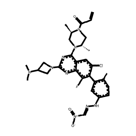 C=CC(=O)N1C[C@H](C)N(c2nc(N3CC(N(C)C)C3)nc3c(F)c(-c4cc(N/N=C/[N+](=O)[O-])ccc4C)c(Cl)cc23)C[C@H]1C